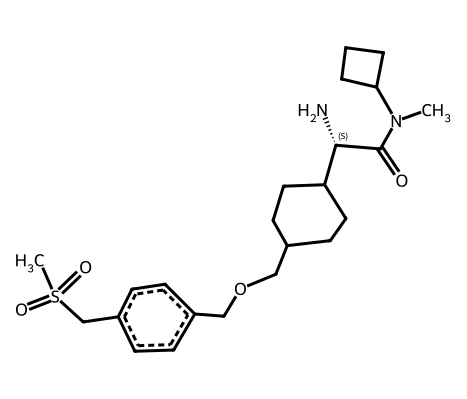 CN(C(=O)[C@@H](N)C1CCC(COCc2ccc(CS(C)(=O)=O)cc2)CC1)C1CCC1